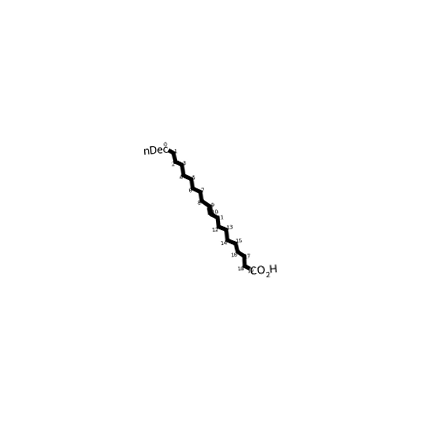 CCCCCCCCCCCCCCCCCCC=CCCCCCCCCC(=O)O